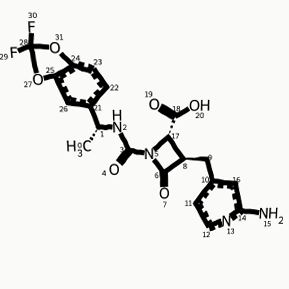 C[C@@H](NC(=O)N1C(=O)[C@H](Cc2ccnc(N)c2)[C@H]1C(=O)O)c1ccc2c(c1)OC(F)(F)O2